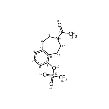 O=C(N1CCc2cccc(OS(=O)(=O)C(F)(F)F)c2CC1)C(F)(F)F